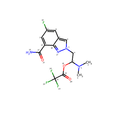 CN(C)C(Cn1cc2cc(F)cc(C(N)=O)c2n1)OC(=O)C(F)(F)F